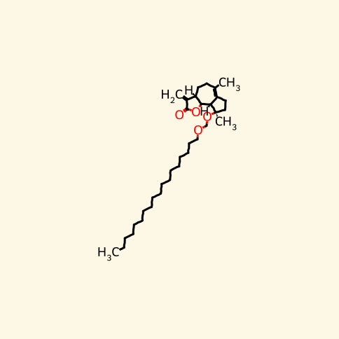 C=C1C(=O)OC2[C@H]1CCC(C)=C1CC[C@@](C)(OCOCCCCCCCCCCCCCCCCCC)[C@@H]12